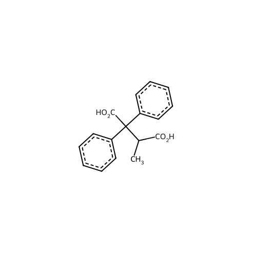 CC(C(=O)O)C(C(=O)O)(c1ccccc1)c1ccccc1